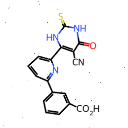 N#Cc1c(-c2cccc(-c3cccc(C(=O)O)c3)n2)[nH]c(=S)[nH]c1=O